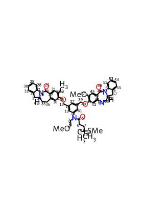 COCCN(C(=O)CCC(C)(C)SC)c1cc(COc2cc3c(cc2C)C(=O)N2c4ccccc4C[C@H]2CC3)cc(COc2cc3c(cc2OC)C(=O)N2c4ccccc4C[C@H]2C=N3)c1